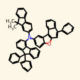 CC1(C)c2ccccc2-c2ccc(N(c3ccc4oc5cc(-c6ccccc6)c6ccccc6c5c4c3)c3cccc4c3-c3ccccc3C4(c3ccccc3)c3ccccc3)cc21